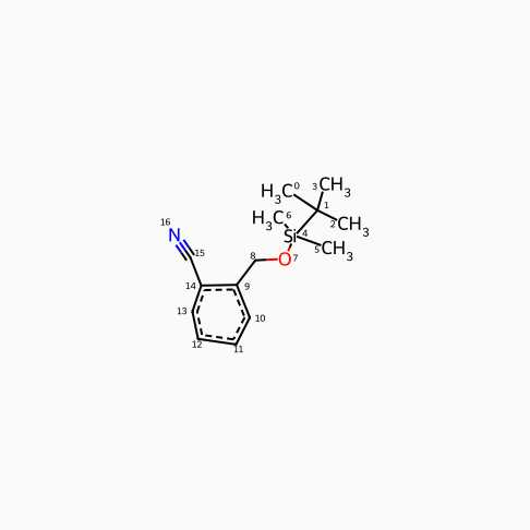 CC(C)(C)[Si](C)(C)OCc1ccccc1C#N